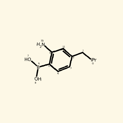 CC(C)Cc1ccc(B(O)O)c(N)c1